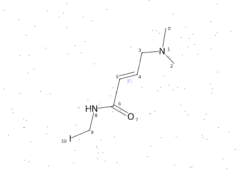 CN(C)C/C=C/C(=O)NCI